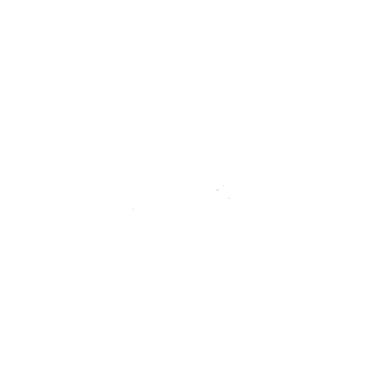 [La+3].[La+3].[La+3].[La+3].[O-2].[O-2].[O-2].[O-2].[O-2].[O-2]